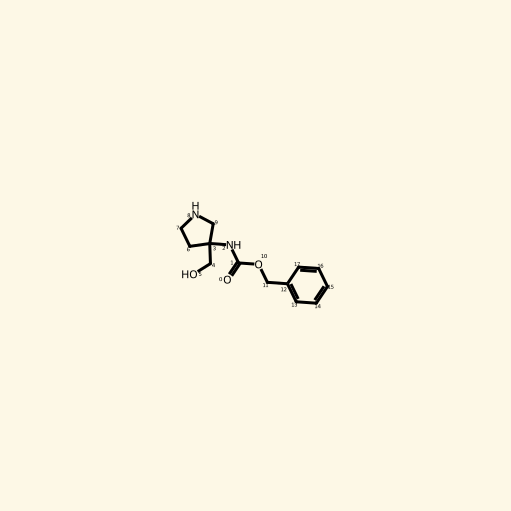 O=C(NC1(CO)CCNC1)OCc1ccccc1